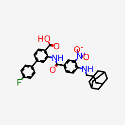 O=C(Nc1cc(-c2ccc(F)cc2)ccc1C(=O)O)c1ccc(NCC23CC4CC(CC(C4)C2)C3)c([N+](=O)[O-])c1